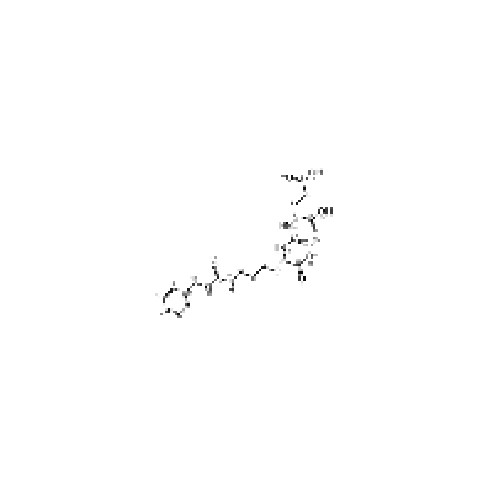 O=C(O)CC[C@@H](NC(=O)N[C@@H](CCCCNC(=O)OCc1ccccc1)C(=O)O)C(=O)O